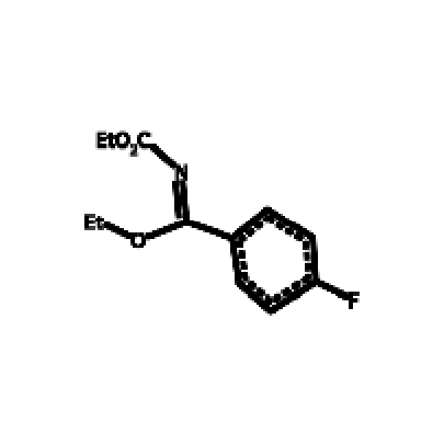 CCOC(=O)N=C(OCC)c1ccc(F)cc1